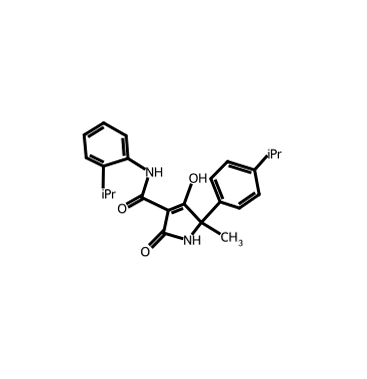 CC(C)c1ccc(C2(C)NC(=O)C(C(=O)Nc3ccccc3C(C)C)=C2O)cc1